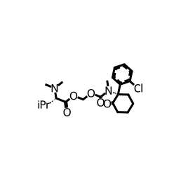 CC(C)[C@@H](C(=O)OCOC(=O)N(C)[C@]1(c2ccccc2Cl)CCCCC1=O)N(C)C